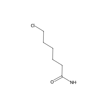 [NH]C(=O)CCCCCCl